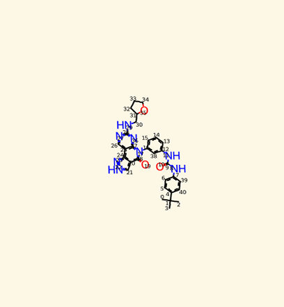 CC(C)(C)c1ccc(NC(=O)Nc2cccc(-n3c(=O)c4c[nH]nc4c4cnc(NCC5CCCO5)nc43)c2)cc1